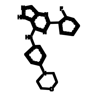 Fc1ccccc1-c1nc(Nc2ccc(N3CCOCC3)cc2)c2[nH]ncc2n1